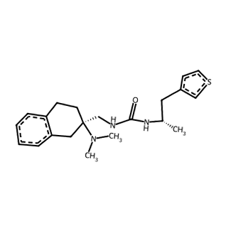 C[C@@H](Cc1ccsc1)NC(=O)NC[C@@]1(N(C)C)CCc2ccccc2C1